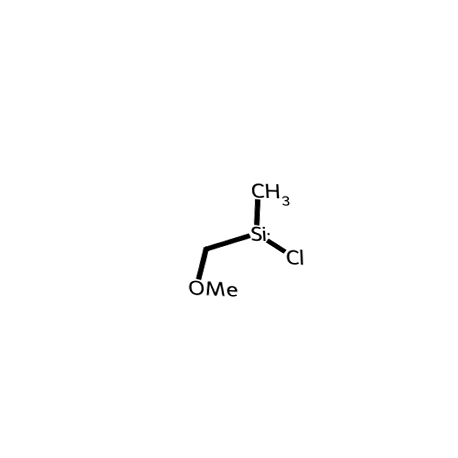 COC[Si](C)Cl